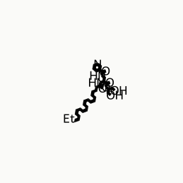 CC/C=C\C/C=C\C/C=C\C/C=C\C/C=C\C/C=C\CCC(=O)NC(CNC(=O)c1cccnc1)C(=O)OC(CO)CO